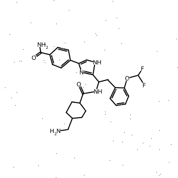 NCC1CCC(C(=O)NC(Cc2ccccc2OC(F)F)c2nc(-c3ccc(C(N)=O)cc3)c[nH]2)CC1